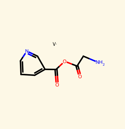 NCC(=O)OC(=O)c1cccnc1.[V]